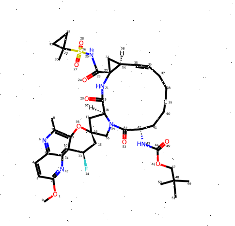 COc1ccc2nc(C)c3c(c2n1)[C@H](F)C[C@]1(C[C@H]2C(=O)N[C@]4(C(=O)NS(=O)(=O)C5(C)CC5)C[C@H]4/C=C\CCCCC[C@H](NC(=O)OCC(C)(C)C)C(=O)N2C1)O3